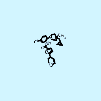 CC1(CC2CC2)CCN(c2ccc(Cl)cc2NC(=O)c2ccc(C3CCOCC3)o2)CC1